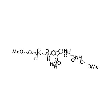 [2H]NC(=O)OCC1c2cc(NC(=O)CCCC(=O)NCCOCCCOC)ccc2-c2ccc(NC(=O)CCCC(=O)NCCOCCCOC)cc21